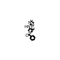 O=C(c1ccccc1)N1CC(NC2=NN=C[N]2)C(F)(F)C1